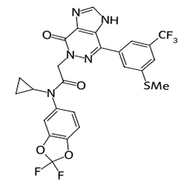 CSc1cc(-c2nn(CC(=O)N(c3ccc4c(c3)OC(F)(F)O4)C3CC3)c(=O)c3nc[nH]c23)cc(C(F)(F)F)c1